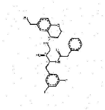 CC(C)(C)Cc1ccc2c(c1)[C@@H](NC[C@H](O)[C@H](Cc1cc(F)cc(F)c1)NC(=O)Cc1ccccc1)CCO2